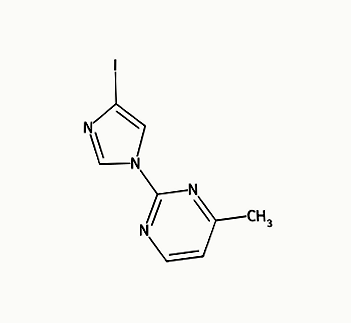 Cc1ccnc(-n2cnc(I)c2)n1